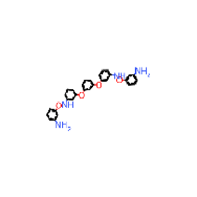 Nc1cccc(ONc2cccc(Oc3cccc(Oc4cccc(NOc5cccc(N)c5)c4)c3)c2)c1